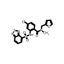 CN(Cc1ccco1)C(=O)c1ccc(Cl)cc1NS(=O)(=O)c1cccc2nsnc12